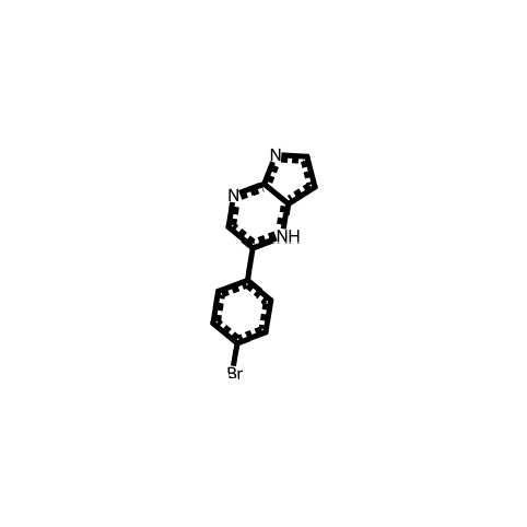 Brc1ccc(-c2cnc3nccc-3[nH]2)cc1